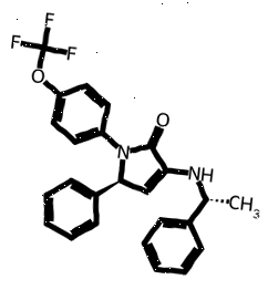 C[C@@H](NC1=C[C@@H](c2ccccc2)N(c2ccc(OC(F)(F)F)cc2)C1=O)c1ccccc1